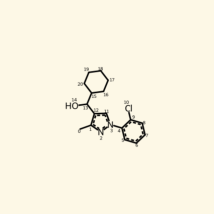 Cc1nn(-c2ccccc2Cl)cc1C(O)C1CCCCC1